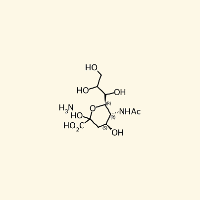 CC(=O)N[C@@H]1[C@@H](O)CC(O)(C(=O)O)O[C@H]1C(O)C(O)CO.N